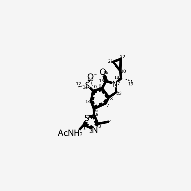 CC(=O)Nc1nc(C)c(-c2cc3c(c([S@+](C)[O-])c2)C(=O)N([C@@H](C)C2CC2)C3)s1